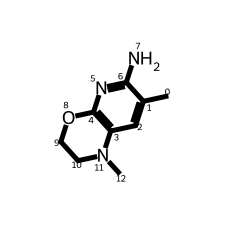 Cc1cc2c(nc1N)OCCN2C